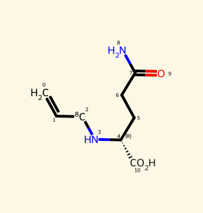 C=C[8CH2]N[C@H](CCC(N)=O)C(=O)O